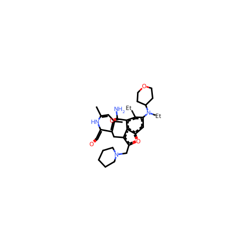 CCc1c(N(CC)C2CCOCC2)cc2oc(CN3CCCCC3)c(CC3=C(C)C=C(C)NC3=C=O)c2c1C(N)=O